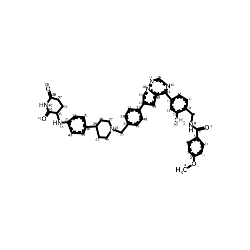 COc1ccc(C(=O)NCc2ccc(-c3ncnn4cc(-c5ccc(CN6CCC(c7ccc(NC8CCC(=O)NC8=O)cc7)CC6)cc5)cc34)cc2C)cc1